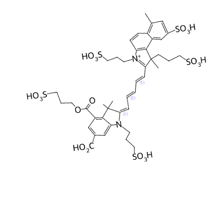 Cc1cc(S(=O)(=O)O)cc2c3c(ccc12)[N+](CCCS(=O)(=O)O)=C(/C=C/C=C/C=C1/N(CCCS(=O)(=O)O)c2cc(C(=O)O)cc(C(=O)OCCCS(=O)(=O)O)c2C1(C)C)C3(C)CCCS(=O)(=O)O